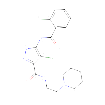 C[C@@H](CN1CCCCC1)NC(=O)c1n[nH]c(NC(=O)c2ccccc2Cl)c1Br